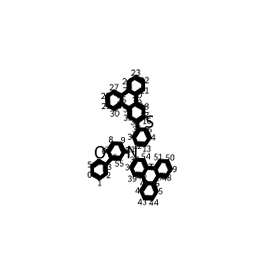 c1ccc2c(c1)oc1ccc(N(c3ccc4sc5cc6c7ccccc7c7ccccc7c6cc5c4c3)c3ccc4c5ccccc5c5ccccc5c4c3)cc12